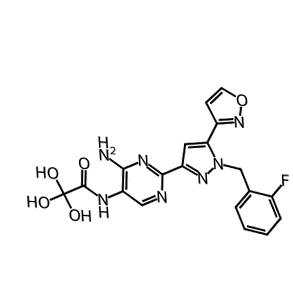 Nc1nc(-c2cc(-c3ccon3)n(Cc3ccccc3F)n2)ncc1NC(=O)C(O)(O)O